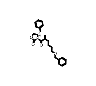 CC(CCCCOCc1ccccc1)C(=O)N1C(=O)OC[C@@H]1Cc1ccccc1